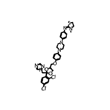 CN1CCSC1=Nc1ccc(N2CCN(c3ccc(OCC4COC(Cn5cncn5)(c5ccc(Cl)cc5Cl)O4)cc3)CC2)cc1